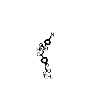 COC(=O)COc1ccc(C(=O)CNS(=O)(=O)c2ccc(C#N)cc2)cc1